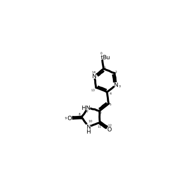 CC(C)(C)c1cnc(/C=C2\NC(=O)NC2=O)cn1